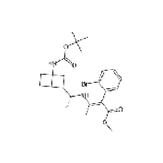 COC(=O)/C(=C(\C)N[C@H](C)C1CC2(NC(=O)OC(C)(C)C)CCC12)c1ccccc1Br